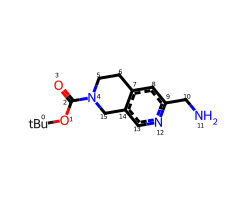 CC(C)(C)OC(=O)N1CCc2cc(CN)ncc2C1